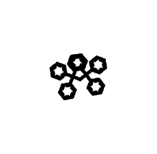 c1ccc(C(CC(c2ccccc2)(c2ccccc2)c2ccccc2)(c2ccccc2)c2ccccc2)cc1